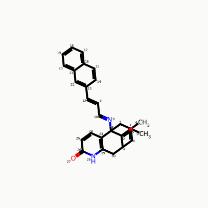 C/C=C1\C2C=C(C)CC1(/N=C/C=C/c1ccc3ccccc3c1)c1ccc(=O)[nH]c1C2